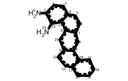 Nc1ccc2ccc3cc4c(ccc5ccccc54)cc3c2c1N